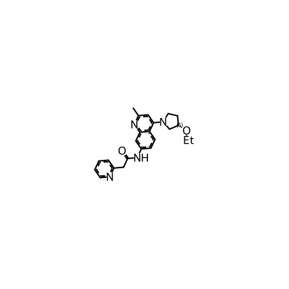 CCO[C@H]1CCN(c2cc(C)nc3cc(NC(=O)Cc4ccccn4)ccc23)C1